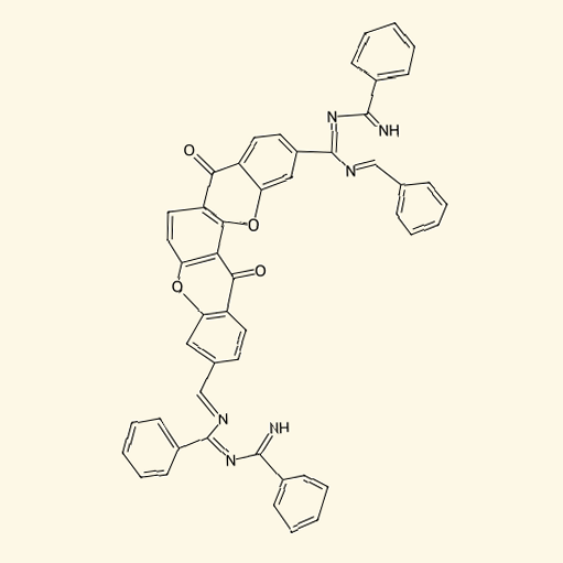 N=C(/N=C(\N=C\c1ccc2c(=O)c3c(ccc4c(=O)c5ccc(C(=N/C(=N)c6ccccc6)/N=C/c6ccccc6)cc5oc43)oc2c1)c1ccccc1)c1ccccc1